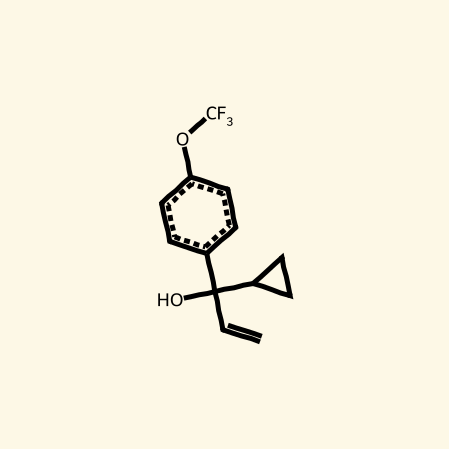 C=CC(O)(c1ccc(OC(F)(F)F)cc1)C1CC1